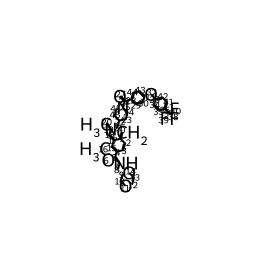 C=c1ccc(C(=O)NC[C@H]2COCCO2)c(C)/c1=C/N(C)CC1CCN(C(=O)c2ccc(Oc3ccc(C(F)(F)F)cc3)cc2)CC1